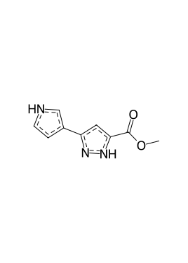 COC(=O)c1cc(-c2cc[nH]c2)n[nH]1